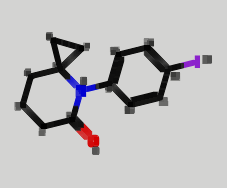 O=C1CCCC2(CC2)N1c1ccc(I)cc1